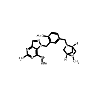 CCCCNc1nc(N)nc2cnn(Cc3cc(CN4C[C@@H]5C[C@H]4CN5C)ccc3OC)c12